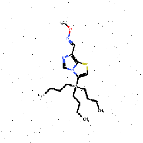 CCC[CH2][Sn]([CH2]CCC)([CH2]CCC)[c]1csc2c(/C=N/OC)ncn12